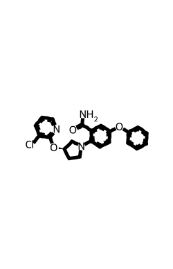 NC(=O)c1cc(Oc2ccccc2)ccc1N1CC[C@H](Oc2ncccc2Cl)C1